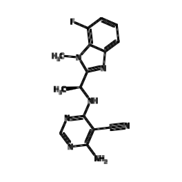 C[C@H](Nc1ncnc(N)c1C#N)c1nc2cccc(F)c2n1C